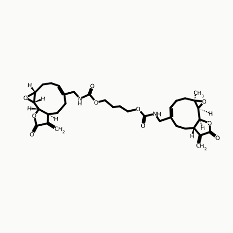 C=C1C(=O)O[C@@H]2[C@@H]3O[C@@H]3CC/C=C(/CNC(=O)OCCCCOC(=O)NC/C3=C/CC[C@@]4(C)O[C@H]4[C@H]4OC(=O)C(=C)[C@@H]4CC3)CC[C@@H]12